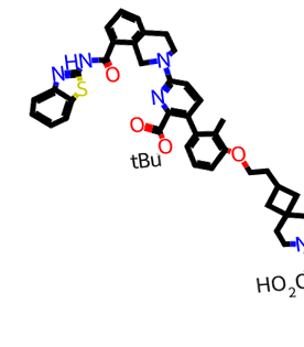 Cc1c(OCCC2CC3(CCN(CC(=O)O)CC3)C2)cccc1-c1ccc(N2CCc3cccc(C(=O)Nc4nc5ccccc5s4)c3C2)nc1C(=O)OC(C)(C)C